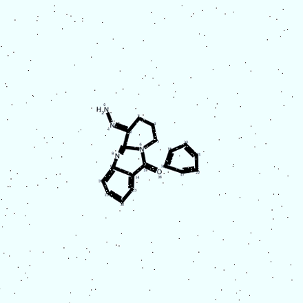 NN=C1CCCn2c1nc1ccccc1c2=O.c1ccccc1